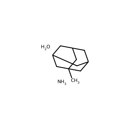 CC12CC3CC(CC(C3)C1)C2.N.O